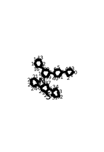 c1ccc(-c2ccc(-c3cc(-c4ccccc4)cc(-n4c5ccccc5c5cc6sc7ccccc7c6cc54)c3)cc2)cc1